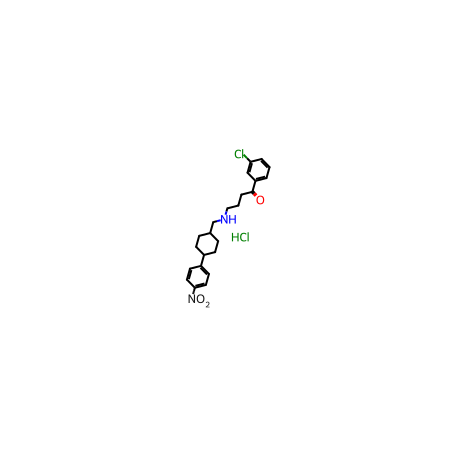 Cl.O=C(CCCNCC1CCC(c2ccc([N+](=O)[O-])cc2)CC1)c1cccc(Cl)c1